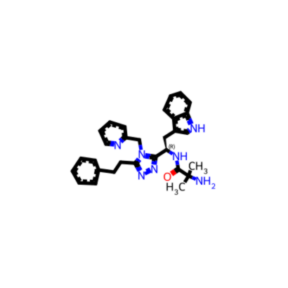 CC(C)(N)C(=O)N[C@H](Cc1c[nH]c2ccccc12)c1nnc(CCc2ccccc2)n1Cc1ccccn1